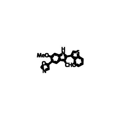 COc1cc2[nH]c(-c3csc4ccccc34)c(C=O)c2cc1-c1cnco1